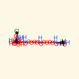 CC(=O)N[C@H]1[C@H]([C@H](O)[C@H](O)CNC(=O)Cc2ccc(Cl)cc2)O[C@@](OCCCCCNC(=O)CCOCCOCCOCCOCCNC(=O)CCOCCOCCOCCOCCNC(=O)CCCC[C@H]2SC[C@H]3NC(=O)N[C@H]32)(C(=O)O)C[C@@H]1O